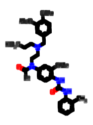 CCC(=O)N(CCN(CCC(=O)O)Cc1ccc(OC)c(OC)c1)c1ccc(NC(=O)Nc2ccccc2C)c(OC)c1